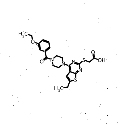 CCOc1cccc(C(=O)N2CCN(c3nc(SCC(=O)O)nc4sc(CC)cc34)CC2)c1